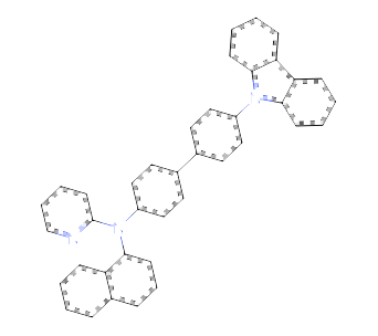 c1ccc(N(c2ccc(-c3ccc(-n4c5ccccc5c5ccccc54)cc3)cc2)c2cccc3ccccc23)nc1